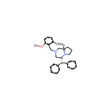 CCOc1cccc(OC)c1CN1C[C@@H]2CCCN2[C@H](C(c2ccccc2)c2ccccc2)C1